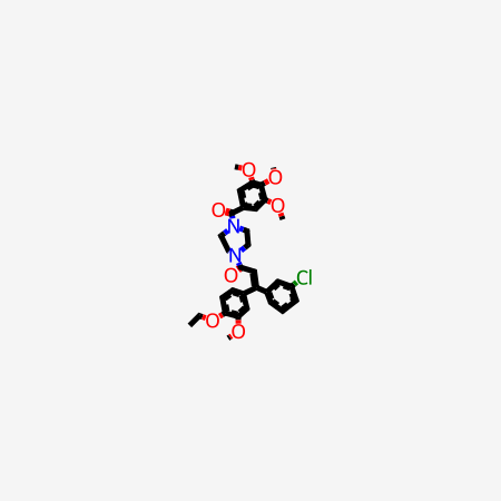 CCOc1ccc(/C(=C\C(=O)N2CCN(C(=O)c3cc(OC)c(OC)c(OC)c3)CC2)c2cccc(Cl)c2)cc1OC